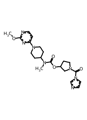 COc1nccc(N2CCC(N(C)C(=O)OC3CCN(C(=O)n4ccnc4)C3)CC2)n1